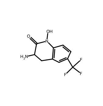 NC1Cc2cc(C(F)(F)F)ccc2N(O)C1=O